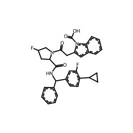 O=C(NC(c1ccccc1)c1ccc(C2CC2)c(F)c1)C1CC(F)CN1C(=O)Cc1cc2ccccc2n1C(=O)O